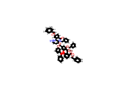 O=C(OC1=CC=CNC=C1N(Cc1ccccc1)C(=O)c1ccc(OCc2ccccc2)cc1)c1cc(OCc2ccccc2)c(C(=O)c2c(OCc3ccccc3)cccc2C(=O)OCc2ccccc2)c(OCc2ccccc2)c1